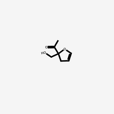 CC(=O)C1(CO)CC=CO1